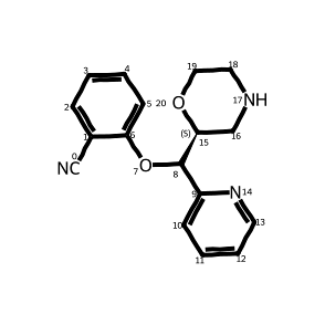 N#Cc1ccccc1OC(c1ccccn1)[C@@H]1CNCCO1